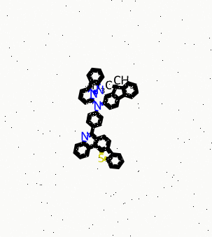 CC1(C)c2ccccc2-c2ccc(N(c3ccc(-c4nc5ccccc5c5c4ccc4c6ccccc6sc45)cc3)c3cccc4c5ccccc5nn34)cc21